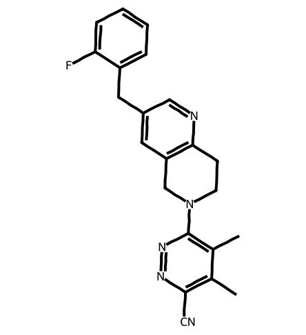 Cc1c(C#N)nnc(N2CCc3ncc(Cc4ccccc4F)cc3C2)c1C